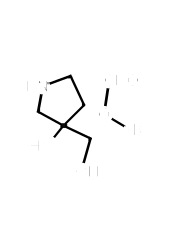 CC(C)(C)OC=O.OCC1(O)CCNC1